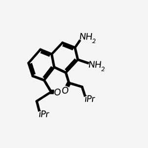 CC(C)CC(=O)c1cccc2cc(N)c(N)c(C(=O)CC(C)C)c12